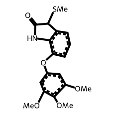 COc1cc(Oc2cccc3c2NC(=O)C3SC)cc(OC)c1OC